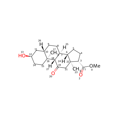 COC(=O)[C@H]1CC[C@H]2[C@@H]3CC[C@H]4C[C@H](O)CC[C@]4(C)[C@H]3C(=O)C[C@]12C